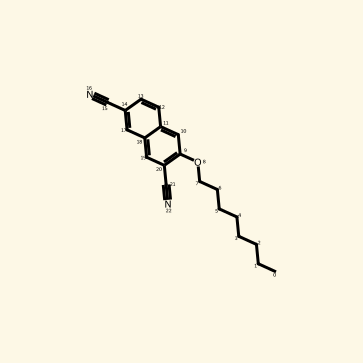 CCCCCCCCOc1cc2ccc(C#N)cc2cc1C#N